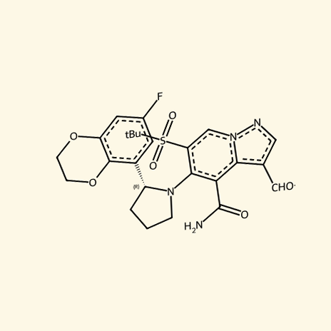 CC(C)(C)S(=O)(=O)c1cn2ncc([C]=O)c2c(C(N)=O)c1N1CCC[C@@H]1c1cc(F)cc2c1OCCO2